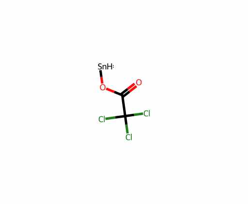 O=C([O][SnH])C(Cl)(Cl)Cl